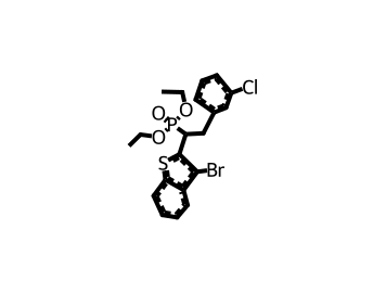 CCOP(=O)(OCC)C(Cc1cccc(Cl)c1)c1sc2ccccc2c1Br